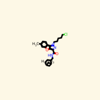 Cc1ccc2c(c1)oc1c(C(=O)NCC3CCC4CC3C4(C)C)nn(CCCCCCl)c12